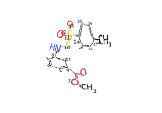 COC(=O)c1cccc(NSS(=O)(=O)c2ccc(C)cc2)c1